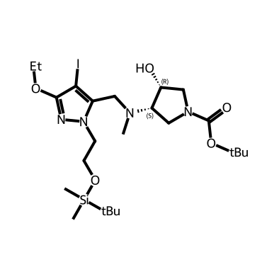 CCOc1nn(CCO[Si](C)(C)C(C)(C)C)c(CN(C)[C@H]2CN(C(=O)OC(C)(C)C)C[C@H]2O)c1I